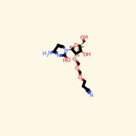 N#CCCOCOCO[C@H]1[C@@H](O)[C@@H](CO)O[C@H]1N1C=CC(N)=NC1O